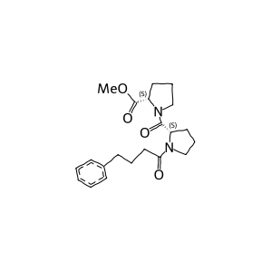 COC(=O)[C@@H]1CCCN1C(=O)[C@@H]1CCCN1C(=O)CCCc1ccccc1